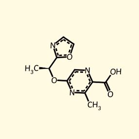 Cc1nc(O[C@@H](C)c2ncco2)cnc1C(=O)O